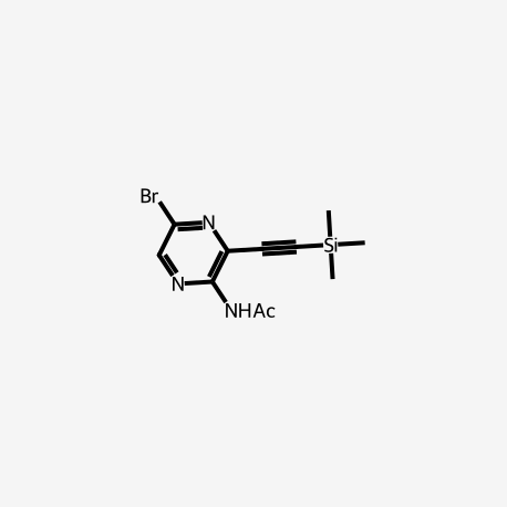 CC(=O)Nc1ncc(Br)nc1C#C[Si](C)(C)C